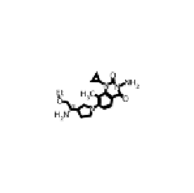 CCOC[C@@H](N)C1CCN(c2ccc3c(=O)n(N)c(=O)n(C4CC4)c3c2C)C1